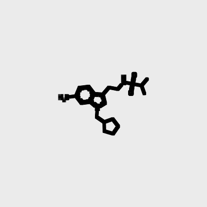 Bc1ccc2c(CCNS(=O)(=O)C(C)C)cn(CC3CCCC3)c2c1